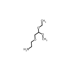 CCOC(COCCN)OC